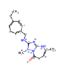 CCC1=CCC=C(CNC2N=C3NC(C)=CCC(=O)N3N2C)C=C1